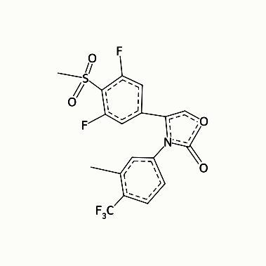 Cc1cc(-n2c(-c3cc(F)c(S(C)(=O)=O)c(F)c3)coc2=O)ccc1C(F)(F)F